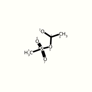 CC([O])OS(C)(=O)=O